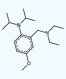 CCN(CC)Cc1cc(OC)cc[c]1[Bi]([CH](C)C)[CH](C)C